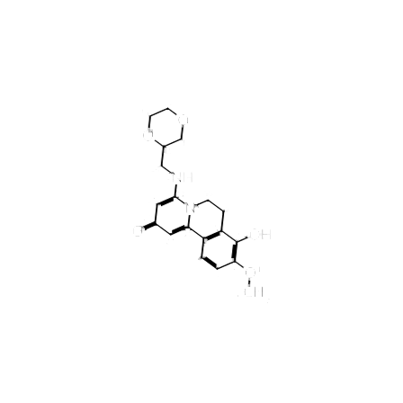 COc1ccc2c(c1O)CCn1c(NCC3COCCO3)cc(=O)cc1-2